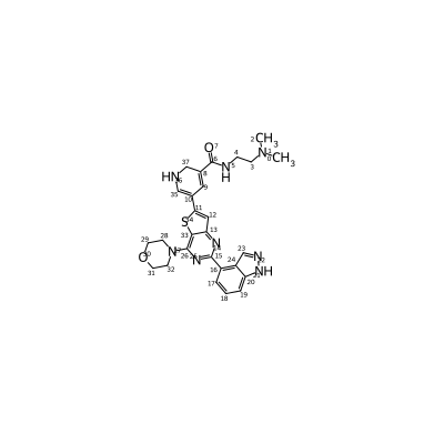 CN(C)CCNC(=O)C1=CC(c2cc3nc(-c4cccc5[nH]ncc45)nc(N4CCOCC4)c3s2)=CNC1